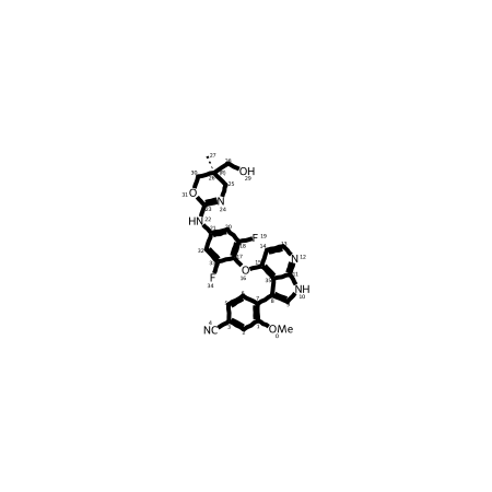 COc1cc(C#N)ccc1-c1c[nH]c2nccc(Oc3c(F)cc(NC4=NC[C@](C)(CO)CO4)cc3F)c12